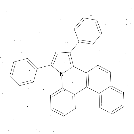 c1ccc(-c2cc(-c3ccccc3)n3c4ccccc4c4c5ccccc5ccc4c23)cc1